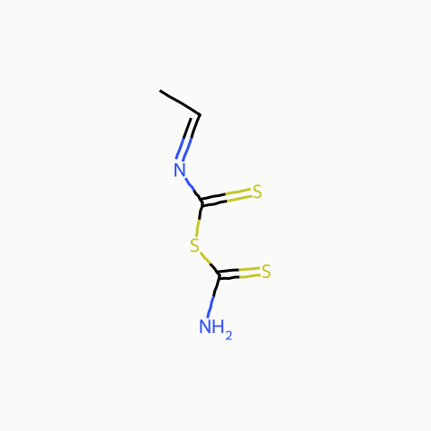 CC=NC(=S)SC(N)=S